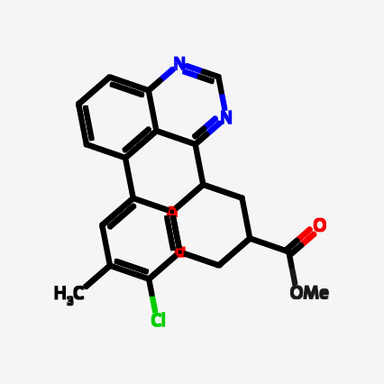 COC(=O)C1CCCC(c2ncnc3cccc(-c4ccc(Cl)c(C)c4)c23)C1